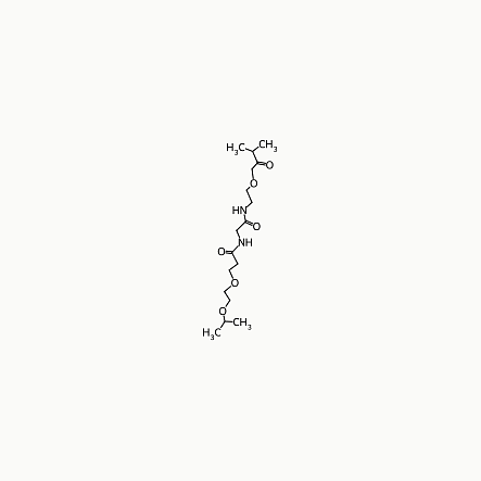 CC(C)OCCOCCC(=O)NCC(=O)NCCOCC(=O)C(C)C